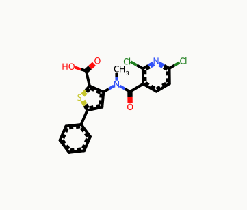 CN(C(=O)c1ccc(Cl)nc1Cl)c1cc(-c2ccccc2)sc1C(=O)O